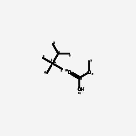 CC(C)[N+](C)(C)C.COC(=O)O